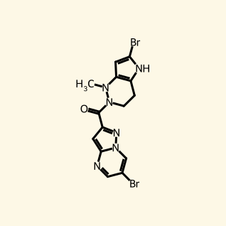 CN1c2cc(Br)[nH]c2CCN1C(=O)c1cc2ncc(Br)cn2n1